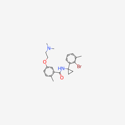 Cc1ccc(OCCN(C)C)cc1C(=O)NC1(c2cccc(C)c2Br)CC1